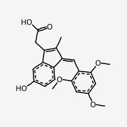 COc1cc(OC)c(C=C2C(C)=C(CC(=O)O)c3cc(O)ccc32)c(OC)c1